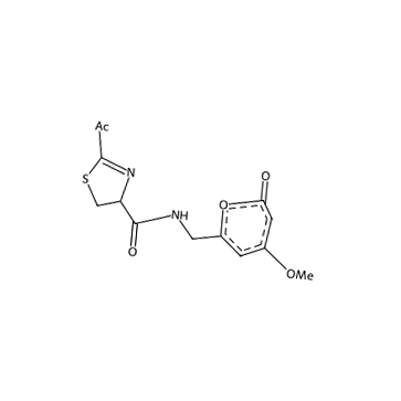 COc1cc(CNC(=O)C2CSC(C(C)=O)=N2)oc(=O)c1